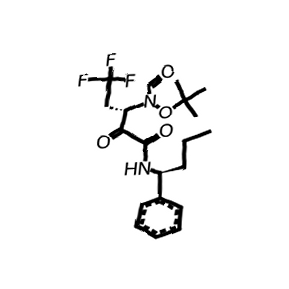 CCC[C@H](NC(=O)C(=O)[C@H](CC(F)(F)F)N(C=O)OC(C)(C)C)c1ccccc1